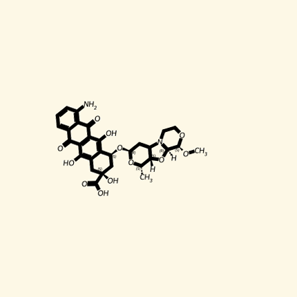 CO[C@H]1OCCN2C3C[C@H](O[C@H]4C[C@](O)(C(=O)O)Cc5c(O)c6c(c(O)c54)C(=O)c4c(N)cccc4C6=O)O[C@@H](C)[C@H]3O[C@H]12